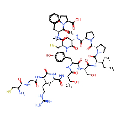 CC[C@H](C)[C@H](NC(=O)[C@@H]1CCCN1C(=O)[C@@H]1CCCN1C(=O)[C@@H](NC(=O)[C@H](CO)NC(=O)[C@H](Cc1ccc(O)cc1)NC(=O)[C@@H](NC(=O)[C@H](C)NC(=O)[C@H](CCCNC(=N)N)NC(=O)CNC(=O)[C@@H](N)CS)[C@@H](C)O)[C@@H](C)CC)C(=O)N[C@@H](CS)C(=O)N[C@@H](Cc1ccccc1)C(=O)N1CCC[C@H]1C(=O)O